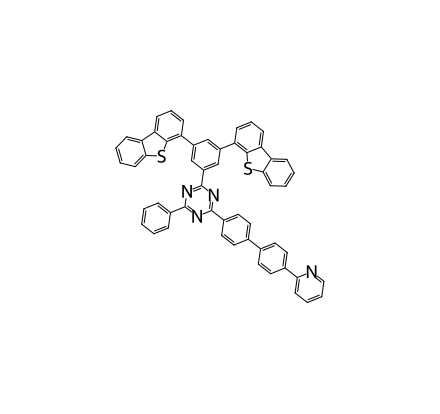 c1ccc(-c2nc(-c3ccc(-c4ccc(-c5ccccn5)cc4)cc3)nc(-c3cc(-c4cccc5c4sc4ccccc45)cc(-c4cccc5c4sc4ccccc45)c3)n2)cc1